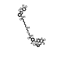 CC[C@@H]1C(=O)N(C)c2cnc(Nc3ccc(C(=O)NCCOCCNCCCCCCC(=O)Nc4cccc5c4CN(C4CCC(=O)NC4=O)C5=O)cc3OC)nc2N1Cc1ccc(Cl)s1